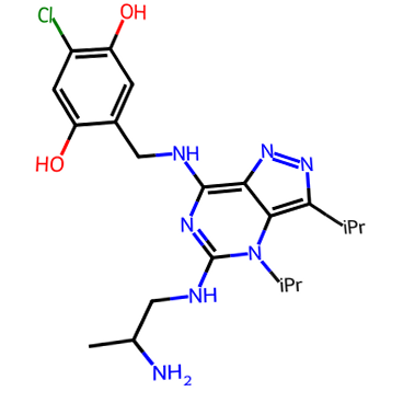 CC(N)CNc1nc(NCc2cc(O)c(Cl)cc2O)c2nnc(C(C)C)c-2n1C(C)C